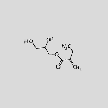 C=C(CC)C(=O)OCC(O)CO